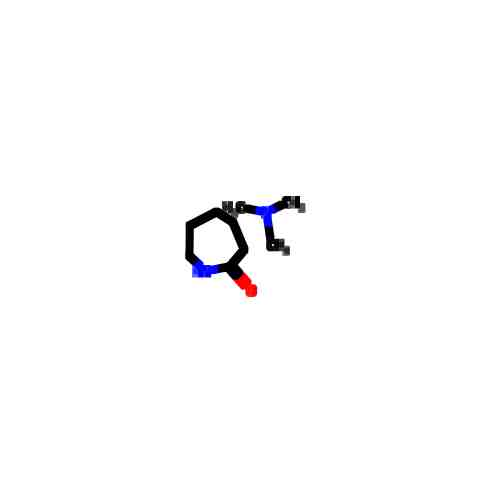 CN(C)C.O=C1CCCCCN1